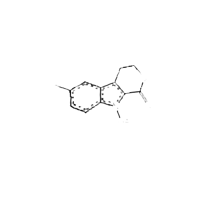 CC(=O)On1c2c(c3cc(Cl)ccc31)CCOC2=S